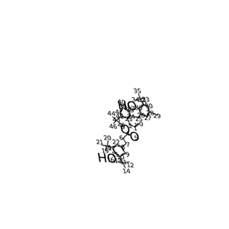 [CH]=CC(OC(=O)CCc1cc(C(C)(C)C)c(O)c(C(C)(C)C)c1)c1c(Cc2cc(C)cc(C(C)(C)C)c2O)cc(C)cc1C(C)(C)C